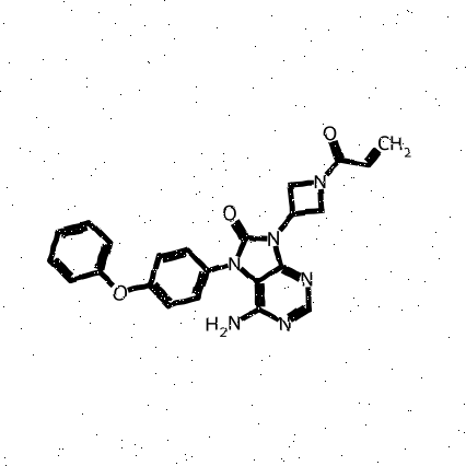 C=CC(=O)N1CC(n2c(=O)n(-c3ccc(Oc4ccccc4)cc3)c3c(N)ncnc32)C1